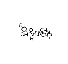 CC(C)(C)N1C=CC(NC(=O)Cc2ccc(F)cc2O)=CC1